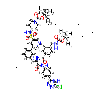 CC(C)(C)OC(=O)NC[C@H]1CC[C@H](C(=O)N[C@@H](Cc2cccc(-c3cncc(S(=O)(=O)NC4CCN(C(=O)OC(C)(C)C)CC4)c3)c2)C(=O)Nc2ccc(-c3nnc(Cl)[nH]3)cc2)CC1